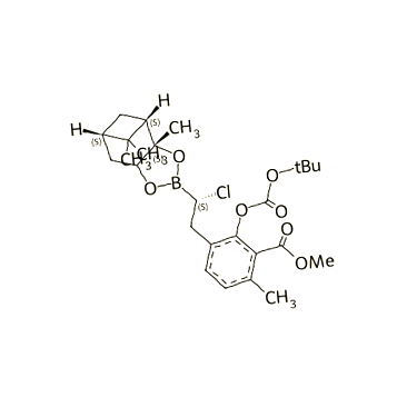 COC(=O)c1c(C)ccc(C[C@@H](Cl)B2OC3C[C@@H]4C[C@@H](C4(C)C)[C@]3(C)O2)c1OC(=O)OC(C)(C)C